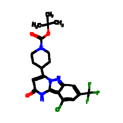 CC(C)(C)OC(=O)N1CCC(c2cc(=O)[nH]c3c4c(Cl)cc(C(F)(F)F)cc4nn23)CC1